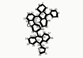 c1ccc(-c2c3ccccc3c(-c3cccc4oc5cc(-c6c7ccccc7c(-c7cccs7)c7ccccc67)ccc5c34)c3ccccc23)cc1